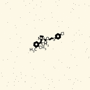 Cc1cccc([C@H](C)c2nccn2C(=O)OCCSc2ccc(Cl)cc2)c1C